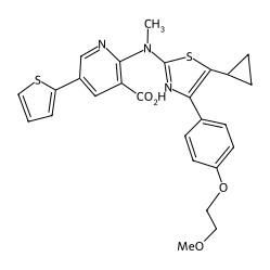 COCCOc1ccc(-c2nc(N(C)c3ncc(-c4cccs4)cc3C(=O)O)sc2C2CC2)cc1